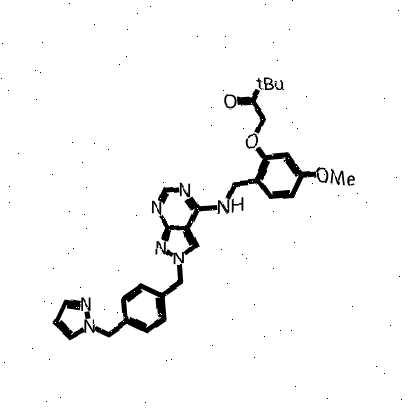 COc1ccc(CNc2ncnc3nn(Cc4ccc(Cn5cccn5)cc4)cc23)c(OCC(=O)C(C)(C)C)c1